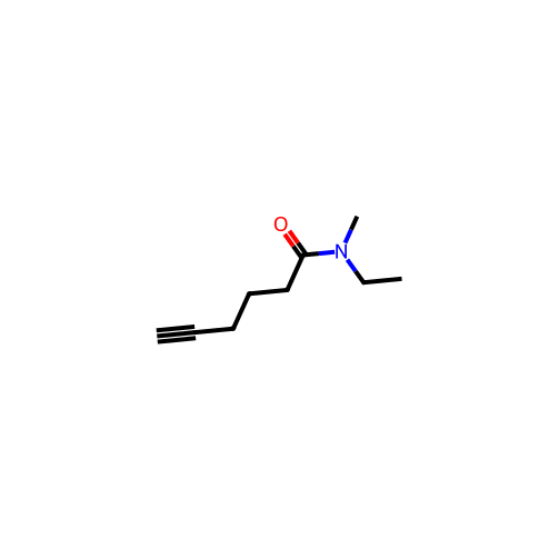 C#CCCCC(=O)N(C)CC